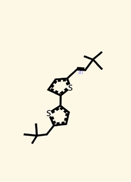 CC(C)(C)/C=C/c1ccc(-c2ccc(CC(C)(C)C)s2)s1